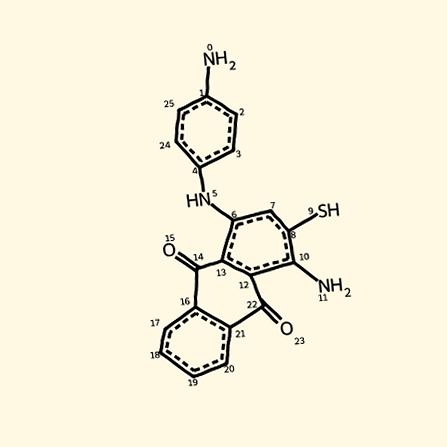 Nc1ccc(Nc2cc(S)c(N)c3c2C(=O)c2ccccc2C3=O)cc1